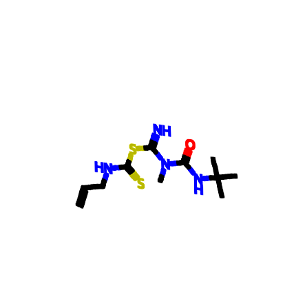 C=CCNC(=S)SC(=N)N(C)C(=O)NC(C)(C)C